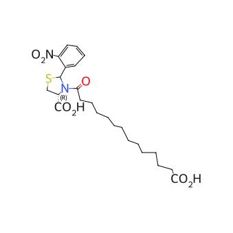 O=C(O)CCCCCCCCCCCCC(=O)N1C(c2ccccc2[N+](=O)[O-])SC[C@H]1C(=O)O